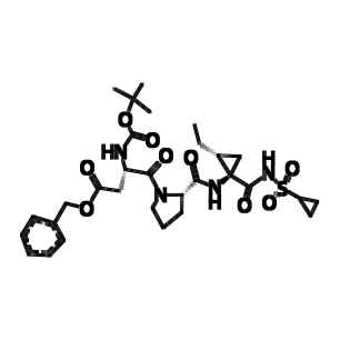 CC[C@@H]1C[C@]1(NC(=O)[C@@H]1CCCN1C(=O)[C@H](CC(=O)OCc1ccccc1)NC(=O)OC(C)(C)C)C(=O)NS(=O)(=O)C1CC1